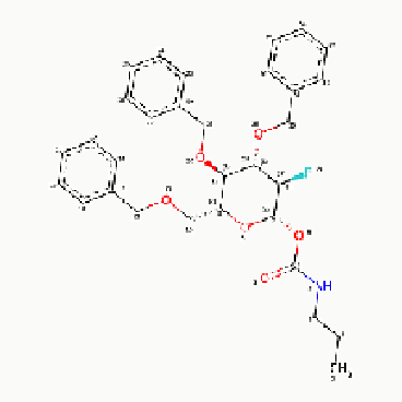 CCCNC(=O)O[C@@H]1O[C@H](COCc2ccccc2)[C@@H](OCc2ccccc2)[C@H](OCc2ccccc2)[C@H]1F